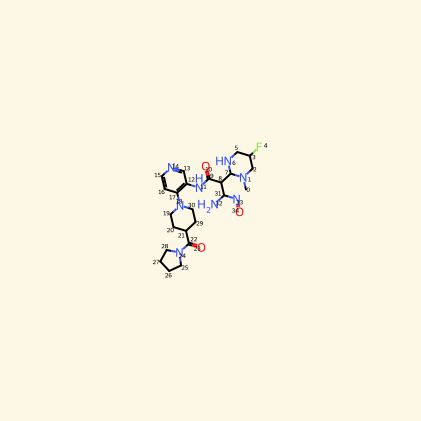 CN1CC(F)CNC1C(C(=O)Nc1cnccc1N1CCC(C(=O)N2CCCC2)CC1)C(N)N=O